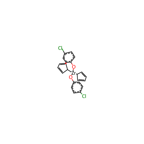 Clc1ccc([O][Zr]([O]c2ccc(Cl)cc2)([CH]2C=CC=C2)[CH]2C=CC=C2)cc1